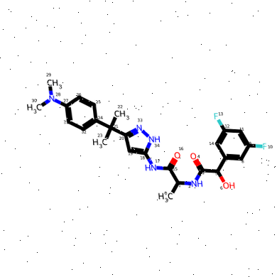 CC(NC(=O)C(O)c1cc(F)cc(F)c1)C(=O)Nc1cc(C(C)(C)c2ccc(N(C)C)cc2)n[nH]1